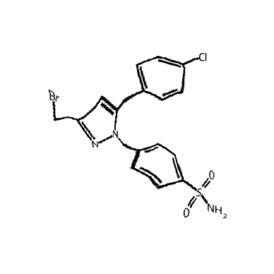 NS(=O)(=O)c1ccc(-n2nc(CBr)cc2-c2ccc(Cl)cc2)cc1